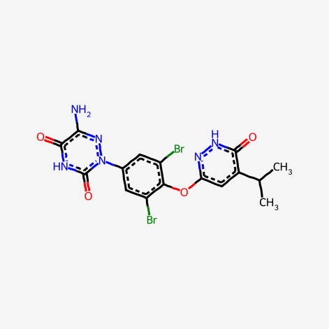 CC(C)c1cc(Oc2c(Br)cc(-n3nc(N)c(=O)[nH]c3=O)cc2Br)n[nH]c1=O